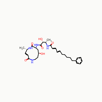 C[C@H](NC(=O)/C=C/C=C/CCCCCc1ccccc1)[C@@H](O)C(=O)N[C@H]1C[C@@H](O)CCNC(=O)/C=C/[C@H](C)NC1=O